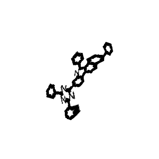 c1ccc(-c2ccc3c(ccc4c5ccc(-c6nc(-c7ccccc7)nc(-c7ccccc7)n6)cc5nc(-c5ccccc5)c34)c2)cc1